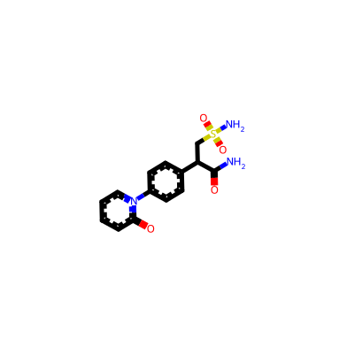 NC(=O)C(CS(N)(=O)=O)c1ccc(-n2ccccc2=O)cc1